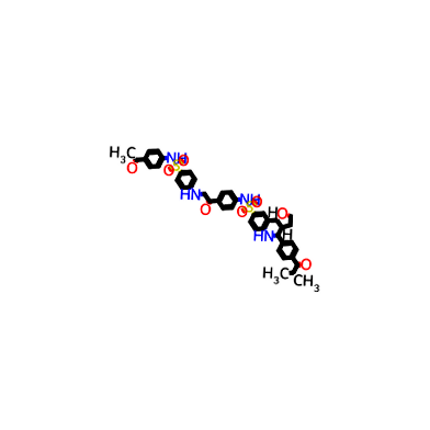 CC(=O)c1ccc(NS(=O)(=O)c2ccc(NCC(=O)c3ccc(NS(=O)(=O)c4ccc5c(c4)[C@H]4OCC[C@H]4C(c4ccc(C(=O)C(C)C)cc4)N5)cc3)cc2)cc1